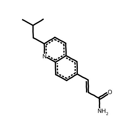 CC(C)Cc1ccc2cc(C=CC(N)=O)ccc2n1